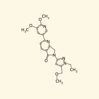 CCn1nc(N2Cc3nc(-c4cnc(OC)c(OC)c4)ccc3C2=O)cc1COC